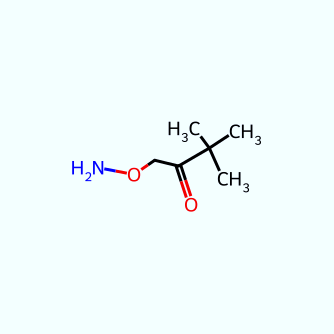 CC(C)(C)C(=O)CON